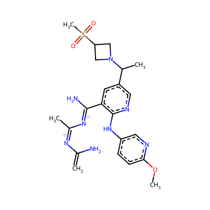 C=C(N)/N=C(C)\N=C(/N)c1cc(C(C)N2CC(S(C)(=O)=O)C2)cnc1Nc1ccc(OC)nc1